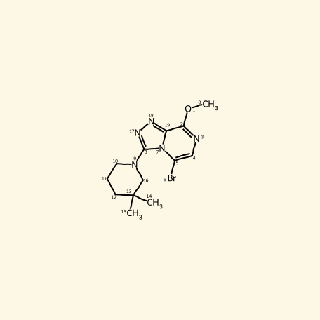 COc1ncc(Br)n2c(N3CCCC(C)(C)C3)nnc12